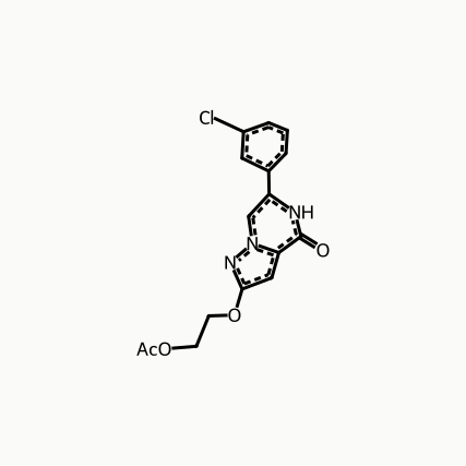 CC(=O)OCCOc1cc2c(=O)[nH]c(-c3cccc(Cl)c3)cn2n1